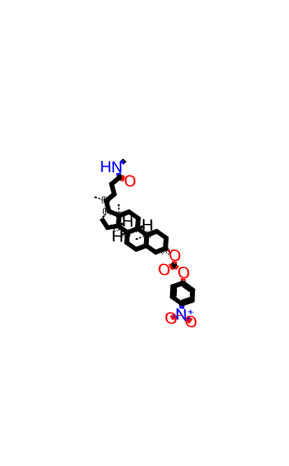 CNC(=O)CC[C@@H](C)[C@H]1CC[C@H]2[C@@H]3CCC4C[C@H](OC(=O)Oc5ccc([N+](=O)[O-])cc5)CC[C@]4(C)[C@H]3CC[C@]12C